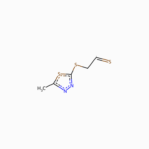 Cc1nnc(SC[C]=S)s1